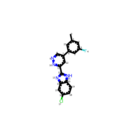 Cc1cc(F)cc(-c2cnnc(-c3nc4cc(Cl)ccc4[nH]3)c2)c1